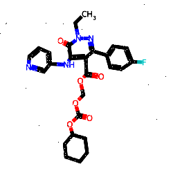 CCn1nc(-c2ccc(F)cc2)c(C(=O)OCOC(=O)OC2CCCCC2)c(Nc2cccnc2)c1=O